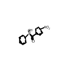 O=C(c1ccc([N+](=O)[O-])cc1)N(O)c1ccccc1